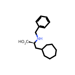 O=C(O)[C@H](CC1CCCCCC1)NCc1ccccc1